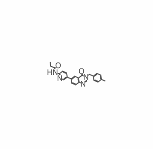 CCC(=O)Nc1ccc(-c2ccc3ncn(Cc4ccc(C)cc4)c(=O)c3c2)cn1